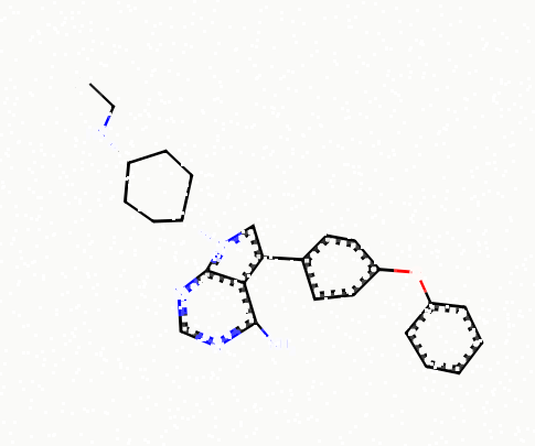 Nc1ncnc2c1c(-c1ccc(Oc3ccccc3)cc1)cn2[C@H]1CC[C@@H](NCC(=O)O)CC1